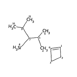 C1=CCC1.CC(C)C([SiH3])C(C)C